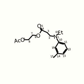 CCN(CCC(=O)OCCOC(C)=O)c1cccc(C)c1